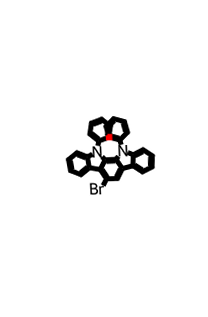 Brc1cc2c3ccccc3n(-c3ccccc3)c2c2c1c1ccccc1n2-c1ccccc1